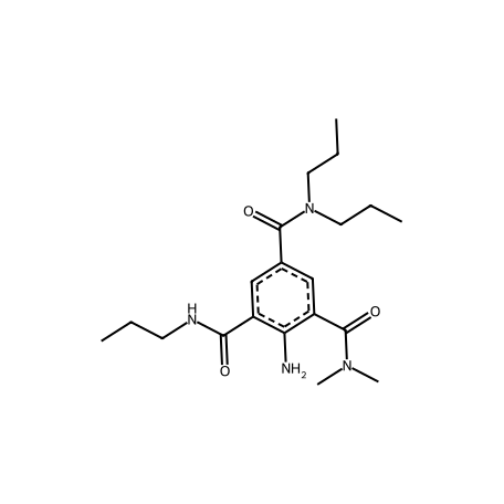 CCCNC(=O)c1cc(C(=O)N(CCC)CCC)cc(C(=O)N(C)C)c1N